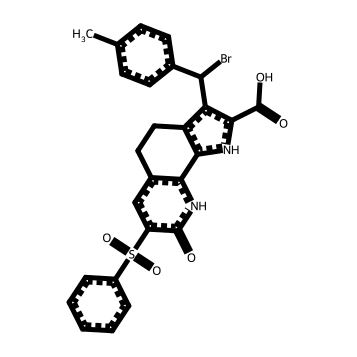 Cc1ccc(C(Br)c2c(C(=O)O)[nH]c3c2CCc2cc(S(=O)(=O)c4ccccc4)c(=O)[nH]c2-3)cc1